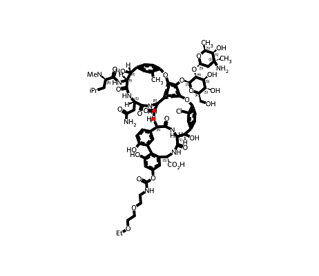 CCOCCOCCNC(=O)Oc1cc(O)c2c(c1)[C@@H](C(=O)O)NC(=O)[C@H]1NC(=O)[C@H](NC(=O)[C@@H]3NC(=O)[C@H](CC(N)=O)NC(=O)[C@H](NC(=O)[C@@H](CC(C)C)NC)[C@H](O)c4ccc(c(C)c4)Oc4cc3cc(c4O[C@@H]3O[C@H](CO)[C@@H](O)[C@H](O)[C@H]3O[C@H]3C[C@](C)(N)[C@H](O)[C@H](C)O3)Oc3ccc(cc3Cl)[C@H]1O)c1ccc(O)c-2c1